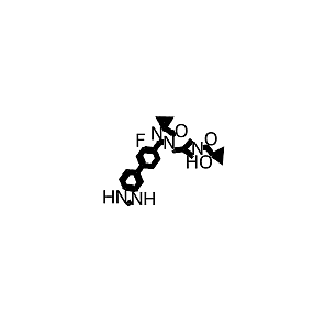 O=C(N1CC(CN2C(=O)C3(CC3)N=C2C2=C(F)C=C(c3ccc4c(c3)NCN4)CC2)C1)C1(O)CC1